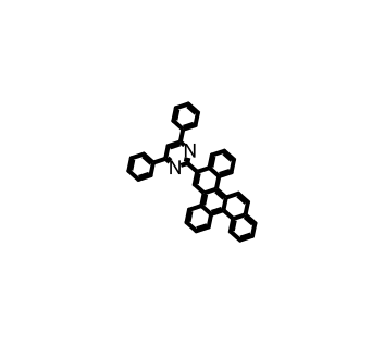 c1ccc(-c2cc(-c3ccccc3)nc(-c3cc4c5ccccc5c5c6ccccc6ccc5c4c4ccccc34)n2)cc1